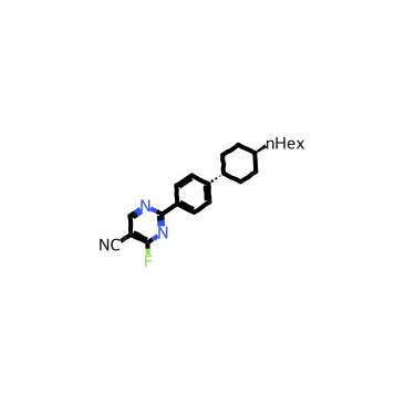 CCCCCC[C@H]1CC[C@H](c2ccc(-c3ncc(C#N)c(F)n3)cc2)CC1